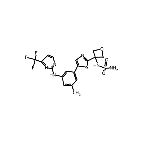 Cc1cc(Nc2nccc(C(F)(F)F)n2)cc(-c2cnc(C3(NS(N)(=O)=O)COC3)s2)c1